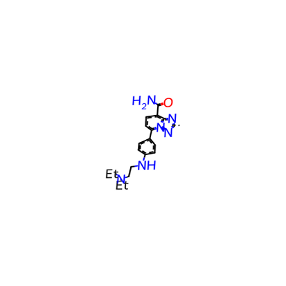 CCN(CC)CCNc1ccc(-c2ccc(C(N)=O)c3n[c]nn23)cc1